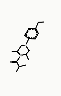 CCc1ccc(N2CC(C)N(C(=O)C(C)C)C(C)C2)cc1